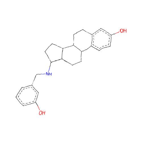 Oc1cccc(CNC2CCC3C2CCC2c4ccc(O)cc4CCC23)c1